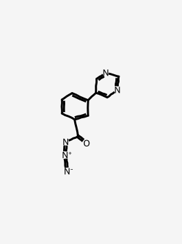 [N-]=[N+]=NC(=O)c1cccc(-c2cncnc2)c1